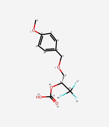 COc1ccc(COC[C@@H](OC(=O)O)C(F)(F)F)cc1